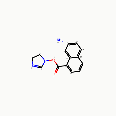 N.O=C(ON1C=NCC1)c1cccc2ccccc12